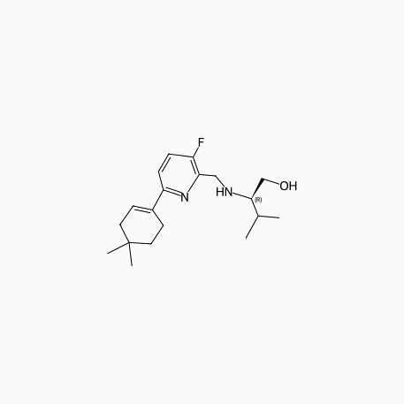 CC(C)[C@H](CO)NCc1nc(C2=CCC(C)(C)CC2)ccc1F